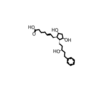 O=C(O)CCCC=CC[C@@H]1[C@@H](CC[C@@H](O)CCc2ccccc2)[C@H](O)C[C@H]1O